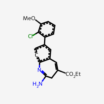 CCOC(=O)C1=Cc2cc(-c3cccc(OC)c3Cl)ccc2N=C(N)C1